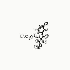 CCOC(=O)CCCC(C(C)=O)(C(=O)OC(C)(C)C)C(=O)c1ccnc(Cl)c1